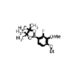 CCOc1ccc(B2OC(C)(C)C(C)(C)O2)c(F)c1OC